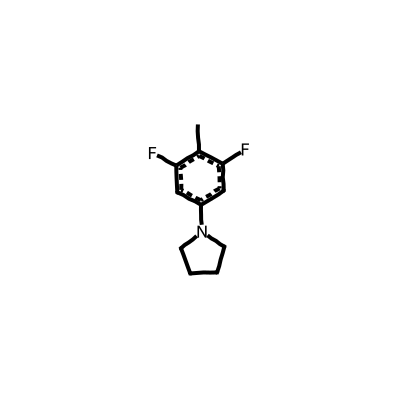 Cc1c(F)cc(N2CCCC2)cc1F